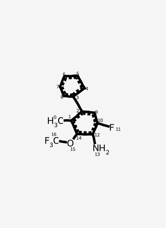 Cc1c(-c2ccccc2)cc(F)c(N)c1OC(F)(F)F